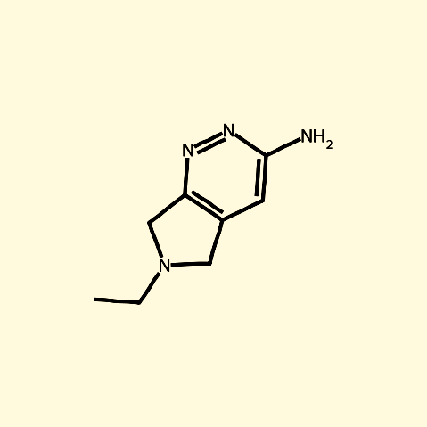 CCN1Cc2cc(N)nnc2C1